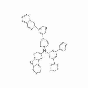 c1ccc(-c2cc(-c3ccccc3)cc(N(c3ccc(-c4cccc(-c5ccc6ccccc6c5)c4)cc3)c3ccc4oc5ccccc5c4c3)c2)cc1